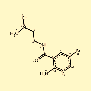 CN(C)CCNC(=O)c1cc(Br)cnc1N